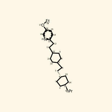 CCC[C@H]1CC[C@H](CCC2CCC(CCc3ccc(OCC)cn3)CC2)CC1